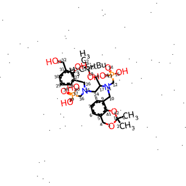 CC1(C)OCc2cccc(CN(CP(=O)(O)O)C(CO[Si](C)(C)C(C)(C)C)CN(Cc3cccc(CO)c3O)CP(=O)(O)O)c2O1